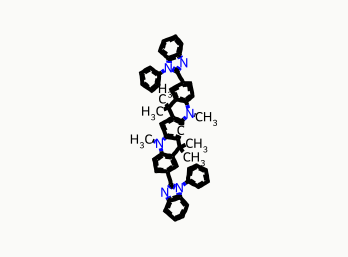 CN1c2ccc(-c3nc4ccccc4n3-c3ccccc3)cc2C(C)(C)c2cc3c(cc21)C(C)(C)c1cc(-c2nc4ccccc4n2-c2ccccc2)ccc1N3C